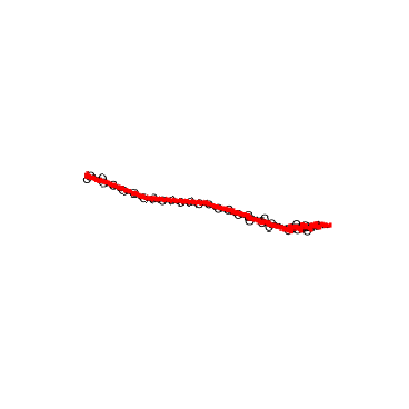 CCCCCC1CCC(C2CCC(C(=O)Oc3ccc(OC(=O)c4ccc(OCCCCCCCCOC(=O)CCC(=O)OCCCCCC(=O)OCCCCOCCCCOCCCCOCCCCOCCCCOCCCCOCCCCOCCCCOCCCCOCCCCOCCCCOCCCCOCCCCOCCCCOCCCCOC(=O)CCCCCOC(=O)CC)cc4)cc3)CC2)CC1